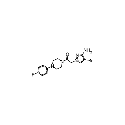 Nc1nn(CC(=O)N2CCN(c3ccc(F)cc3)CC2)cc1Br